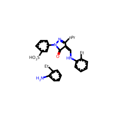 CCCC1=NN(c2cccc(S(=O)(=O)O)c2)C(=O)C1=CNc1ccccc1CC.CCc1ccccc1N